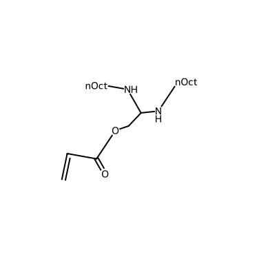 C=CC(=O)OCC(NCCCCCCCC)NCCCCCCCC